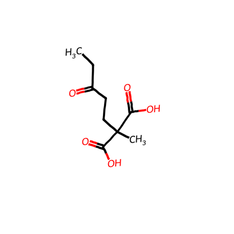 CCC(=O)CCC(C)(C(=O)O)C(=O)O